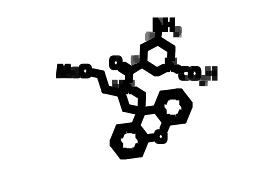 COCCCCC1(CNC(=O)[C@H]2C[C@@H](N)CN(C(=O)O)C2)c2ccccc2Oc2ccccc21